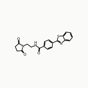 O=C(NCCN1C(=O)CCC1=O)c1ccc(-c2nc3ccccc3s2)cc1